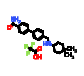 CC1(C)CCC(NCc2ccc(-c3ccc(C(N)=O)cc3)cc2)CC1.O=C(O)C(F)(F)F